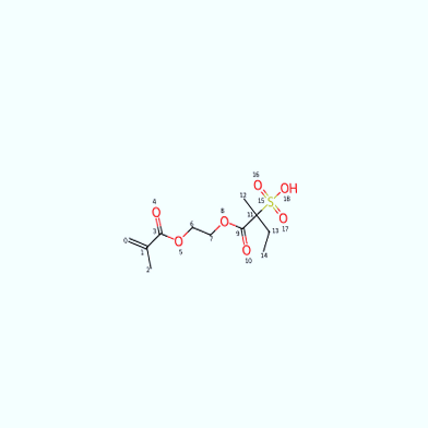 C=C(C)C(=O)OCCOC(=O)C(C)(CC)S(=O)(=O)O